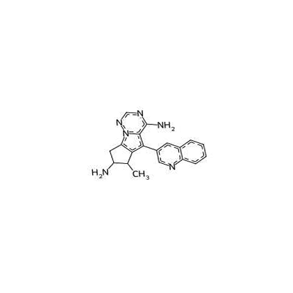 CC1c2c(-c3cnc4ccccc4c3)c3c(N)ncnn3c2CC1N